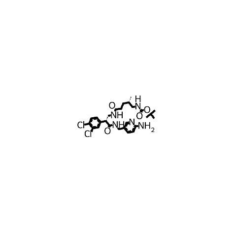 C[C@@H](CCC(=O)NC[C@H](C(=O)NCc1ccc(N)nc1)c1ccc(Cl)c(Cl)c1)CNC(=O)OC(C)(C)C